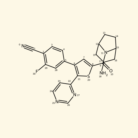 N#Cc1ccc(-c2cc(C(=O)N3C4CCC3CC(N)C4)sc2-c2ccncn2)cc1F